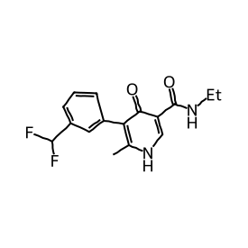 CCNC(=O)c1c[nH]c(C)c(-c2cccc(C(F)F)c2)c1=O